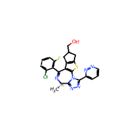 C[C@@H]1N=C(c2c(F)cccc2Cl)c2c(sc3c2CC(CO)C3)-n2c(-c3cccnn3)nnc21